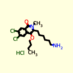 CCCCOc1c(CCCCCCN)n(C)c(=O)c2cc(Cl)c(Cl)cc12.Cl